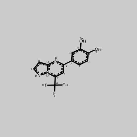 Oc1ccc(-c2cc(C(F)(F)F)n3nccc3n2)cc1O